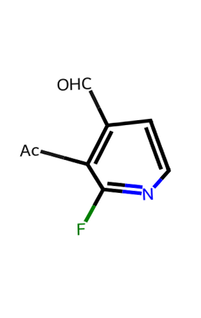 CC(=O)c1c(C=O)ccnc1F